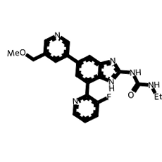 CCNC(=O)Nc1nc2cc(-c3cncc(COC)c3)cc(-c3ncccc3F)c2[nH]1